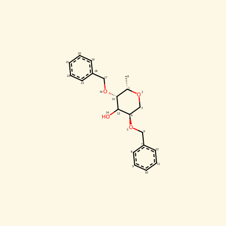 C[C@@H]1OC[C@@H](OCc2ccccc2)C(O)[C@@H]1OCc1ccccc1